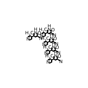 Cc1[nH]c(=O)c(C#N)cc1-c1ccncc1.Cc1[nH]c(=O)c(C#N)cc1-c1ccncc1.Cc1[nH]c(=O)c(C#N)cc1-c1ccncc1.Cc1[nH]c(=O)c(C#N)cc1-c1ccncc1.Cc1[nH]c(=O)c(C#N)cc1-c1ccncc1